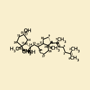 CC(C)CCC[C@@H](C)[C@H]1CCC2C(CC3([C@H]4C[C@@H](O)CCC4(C)C)NN3)CCC[C@@]21C